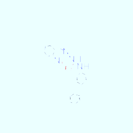 CN1C(=O)C(NC(=O)Nc2ccc(Cc3ccccc3)cc2)N=C(C2CCCCC2)c2ccccc21